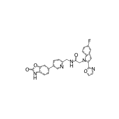 O=C(Cn1c(-c2ncco2)cc2cc(F)ccc21)NCc1ccc(-c2ccc3[nH]c(=O)oc3c2)cn1